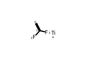 C=C(F)F.[Ti]